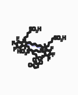 CC1(CCCCS(=O)(=O)O)C(/C=C/C=C/C=C2/N(CCCCS(=O)(=O)O)c3c(F)c(F)c(F)c(F)c3C2(C)CCCCCC(=O)ON2C(=O)CCC2=O)=[N+](CCCCS(=O)(=O)O)c2c(F)c(F)c(F)c(F)c21